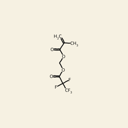 C=C(C)C(=O)OCOC(=O)C(F)(F)C(F)(F)F